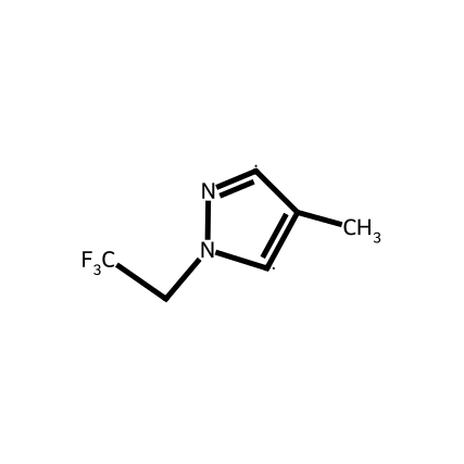 Cc1[c]nn(CC(F)(F)F)[c]1